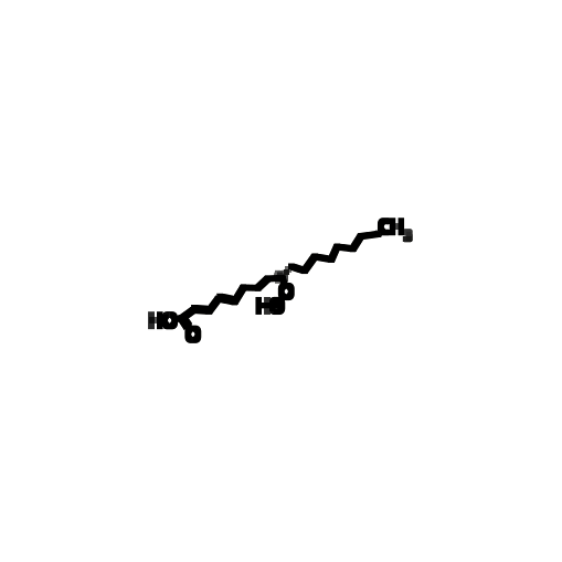 CCCCCCCCC[C@@H](CCCC=CC=CC(=O)O)OO